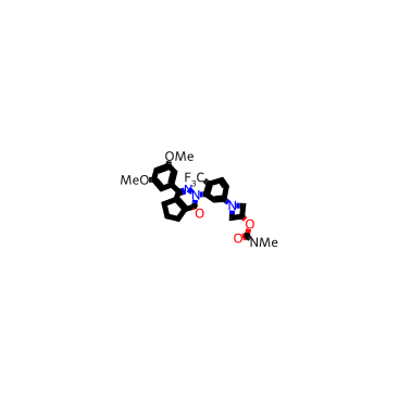 CNC(=O)OC1CN(c2ccc(C(F)(F)F)c(-n3nc(-c4cc(OC)cc(OC)c4)c4c(c3=O)CCC4)c2)C1